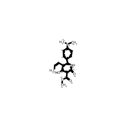 C/C=C\c1c(-c2ccc(N(C)C)cc2)[nH]c(=O)c(C(=O)OC)c1O